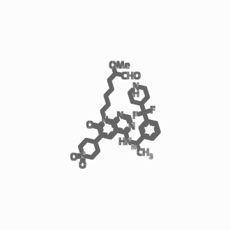 COC(C=O)CCCCCn1c(=O)c(C2CCS(=O)(=O)CC2)cc2c(N[C@H](C)c3cccc(C(F)(F)C4CCNCC4)c3)ncnc21